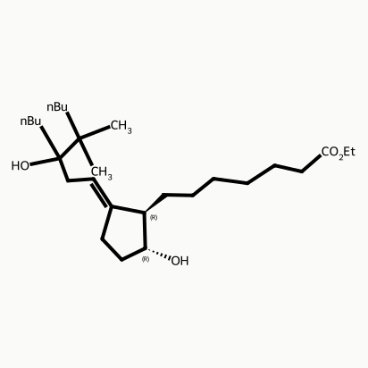 CCCCC(C)(C)C(O)(CC=C1CC[C@@H](O)[C@@H]1CCCCCCC(=O)OCC)CCCC